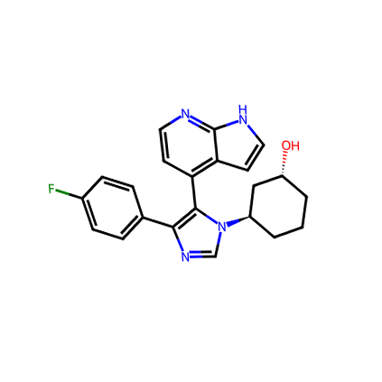 O[C@@H]1CCC[C@@H](n2cnc(-c3ccc(F)cc3)c2-c2ccnc3[nH]ccc23)C1